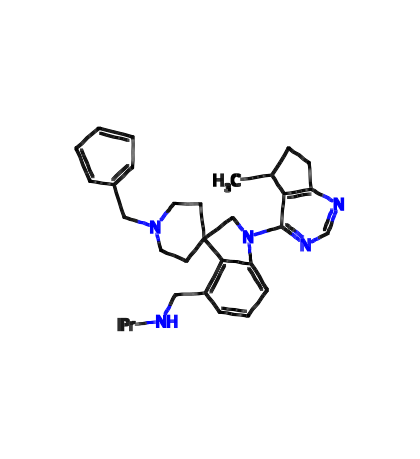 CC(C)NCc1cccc2c1C1(CCN(Cc3ccccc3)CC1)CN2c1ncnc2c1C(C)CC2